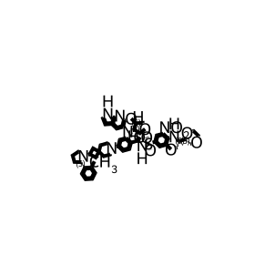 Cc1ccccc1[C@@H]1CCCN1C1CC2(CCN(c3ccc(C(=O)NS(=O)(=O)c4cc5c(c([N+](=O)[O-])c4)N[C@H]([C@H]4COCCO4)CO5)c(N4c5cc6cc[nH]c6nc5O[C@@H]5COC[C@H]54)c3)CC2)C1